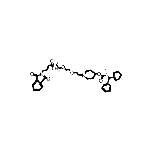 C[N+](C)(CCCN1C(=O)c2ccccc2C1=O)CCOCCOCCN1CCC(OC(=O)NC(c2ccccc2)c2ccccc2)CC1